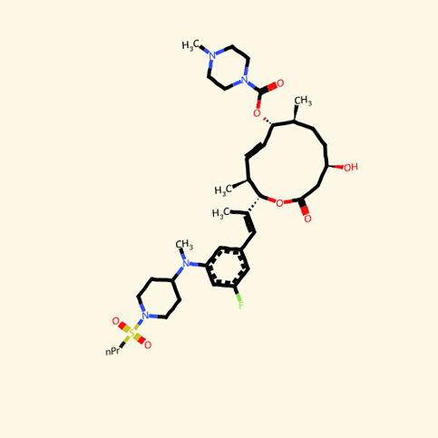 CCCS(=O)(=O)N1CCC(N(C)c2cc(F)cc(/C=C(\C)[C@H]3OC(=O)C[C@H](O)CC[C@H](C)[C@@H](OC(=O)N4CCN(C)CC4)/C=C/[C@@H]3C)c2)CC1